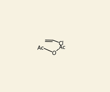 C=CCl.CC(=O)OC(C)=O